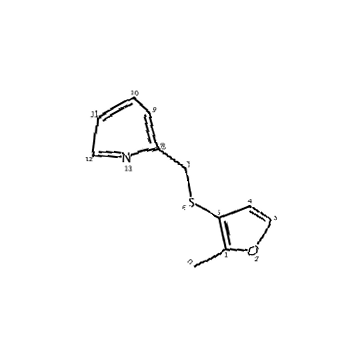 Cc1occc1SCc1ccccn1